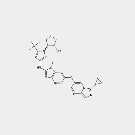 Cn1c(Nc2cc(C(C)(C)C)n([C@H]3COC[C@@H]3O)n2)nc2ncc(Oc3cnc4cnc(C5CC5)n4c3)cc21